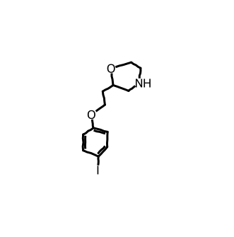 Ic1ccc(OCCC2CNCCO2)cc1